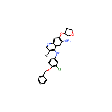 N#Cc1cnc2cc(OC3CCOC3)c(N)cc2c1Nc1ccc(OCc2ccccc2)c(Cl)c1